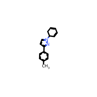 Cc1ccc(-c2ccn(C3C=CC=CC3)n2)cc1